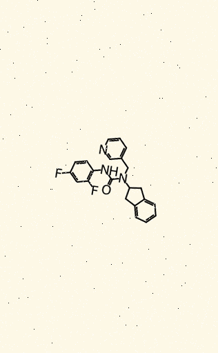 O=C(Nc1ccc(F)cc1F)N(Cc1cccnc1)C1Cc2ccccc2C1